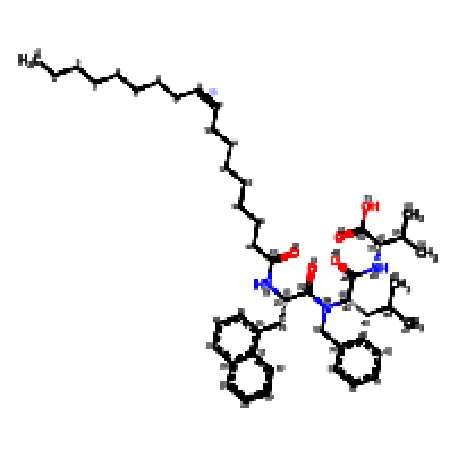 CCCCCCCC/C=C\CCCCCCCC(=O)N[C@@H](Cc1cccc2ccccc12)C(=O)N(Cc1ccccc1)[C@@H](CC(C)C)C(=O)N[C@H](C(=O)O)C(C)C